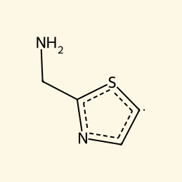 NCc1nc[c]s1